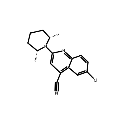 C[C@@H]1CCC[C@H](C)N1c1cc(C#N)c2cc(Cl)ccc2n1